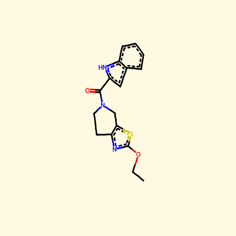 CCOc1nc2c(s1)CN(C(=O)c1cc3ccccc3[nH]1)CC2